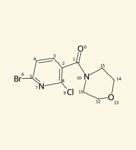 O=C(c1ccc(Br)nc1Cl)N1CCOCC1